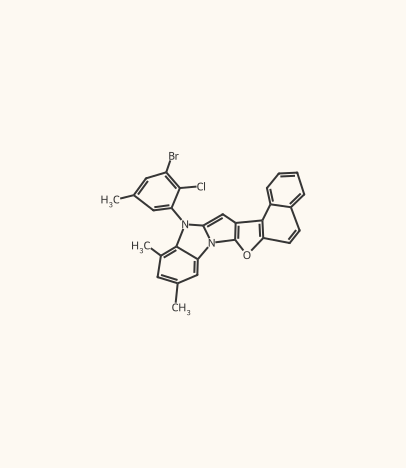 Cc1cc(Br)c(Cl)c(-n2c3c(C)cc(C)cc3n3c4oc5ccc6ccccc6c5c4cc23)c1